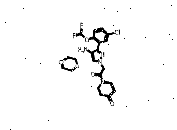 C1COCCO1.Nc1cn(CC(=O)N2CCC(=O)CC2)nc1-c1cc(Cl)ccc1OC(F)F